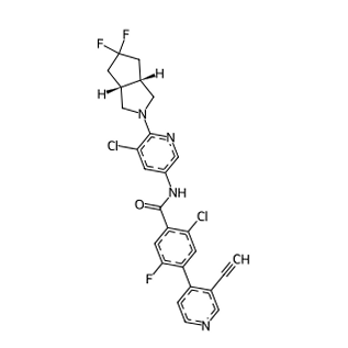 C#Cc1cnccc1-c1cc(Cl)c(C(=O)Nc2cnc(N3C[C@@H]4CC(F)(F)C[C@@H]4C3)c(Cl)c2)cc1F